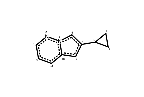 c1cnn2cc(C3CC3)cc2c1